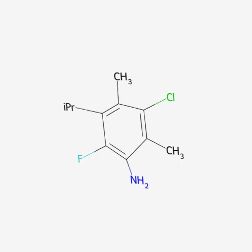 Cc1c(N)c(F)c(C(C)C)c(C)c1Cl